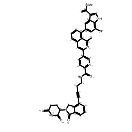 CNC(=O)c1c[nH]c2c(C(C)C)cc(-c3cccc4cc(-c5ccc(C(=O)NCCC#Cc6cccc7c6CN(C6CCC(=O)NC6=O)C7=O)nc5)nc(C)c34)cc12